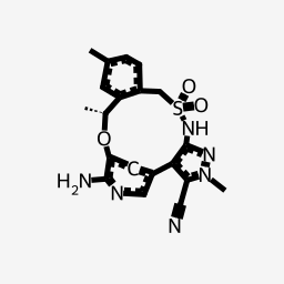 Cc1ccc2c(c1)[C@@H](C)Oc1cc(cnc1N)-c1c(nn(C)c1C#N)NS(=O)(=O)C2